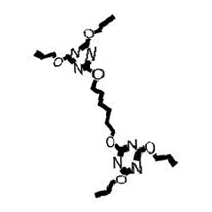 C=CCOc1nc(OCC=C)nc(OCCCCCCOc2nc(OCC=C)nc(OCC=C)n2)n1